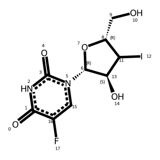 O=c1[nH]c(=O)n([C@@H]2O[C@H](CO)C(I)[C@H]2O)cc1F